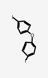 Ic1ccc(Oc2ccc(I)cc2)cc1